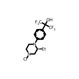 CC[C@H]1CN(Cl)CCN1c1ccc(C(O)(C(F)(F)F)C(F)(F)F)cc1